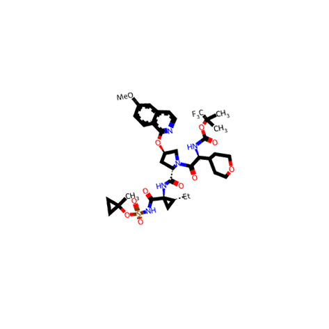 CC[C@@H]1C[C@]1(NC(=O)[C@@H]1C[C@@H](Oc2nccc3cc(OC)ccc23)CN1C(=O)[C@@H](NC(=O)OC(C)(C)C(F)(F)F)C1CCOCC1)C(=O)NS(=O)(=O)OC1(C)CC1